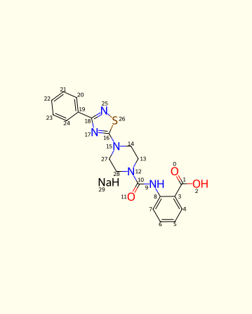 O=C(O)c1ccccc1NC(=O)N1CCN(c2nc(-c3ccccc3)ns2)CC1.[NaH]